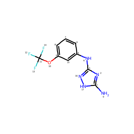 Nc1nc(Nc2cccc(OC(F)(F)F)c2)n[nH]1